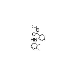 [2H]OC(=O)c1ccccc1Nc1cccc(C)c1C